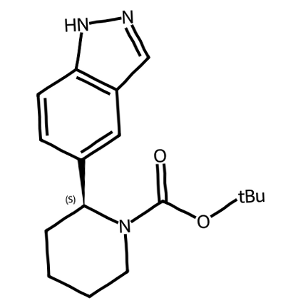 CC(C)(C)OC(=O)N1CCCC[C@H]1c1ccc2[nH]ncc2c1